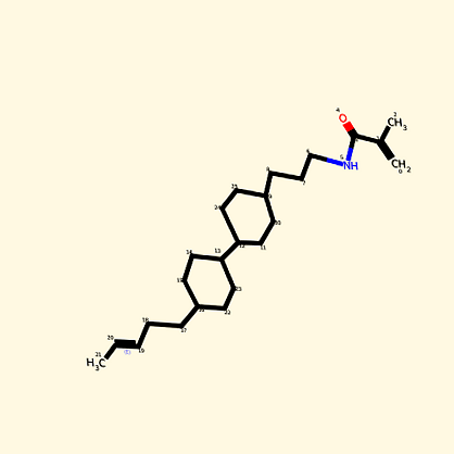 C=C(C)C(=O)NCCCC1CCC(C2CCC(CC/C=C/C)CC2)CC1